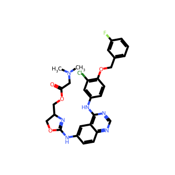 CN(C)CC(=O)OCC1COC(Nc2ccc3ncnc(Nc4ccc(OCc5cccc(F)c5)c(Cl)c4)c3c2)=N1